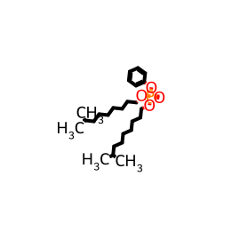 CC(C)CCCCCCCOP(=O)(OCCCCCCCC(C)C)Oc1ccccc1